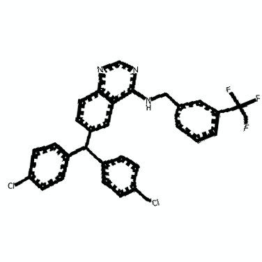 FC(F)(F)c1cccc(CNc2ncnc3ccc(C(c4ccc(Cl)cc4)c4ccc(Cl)cc4)cc23)c1